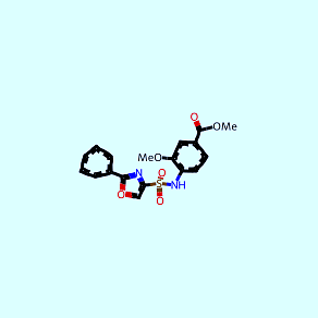 COC(=O)c1ccc(NS(=O)(=O)c2coc(-c3ccccc3)n2)c(OC)c1